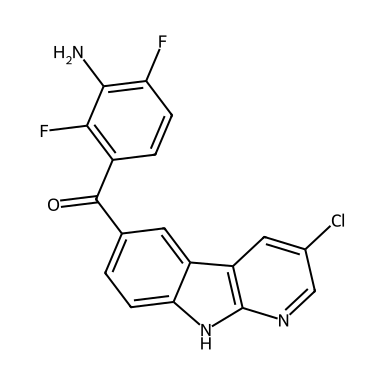 Nc1c(F)ccc(C(=O)c2ccc3[nH]c4ncc(Cl)cc4c3c2)c1F